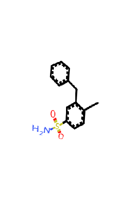 Cc1ccc(S(N)(=O)=O)cc1Cc1ccccc1